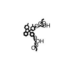 C=CC(=O)OCC(O)COc1ccc(C2(C3=CC=C(OCC(CO)OC(=O)C=C)C(C)C3)C3=C(C=CC(C)C3)c3ccccc32)cc1